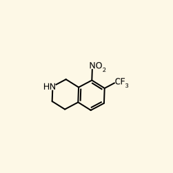 O=[N+]([O-])c1c(C(F)(F)F)ccc2c1CNCC2